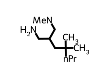 CCCC(C)(C)CC(CN)CNC